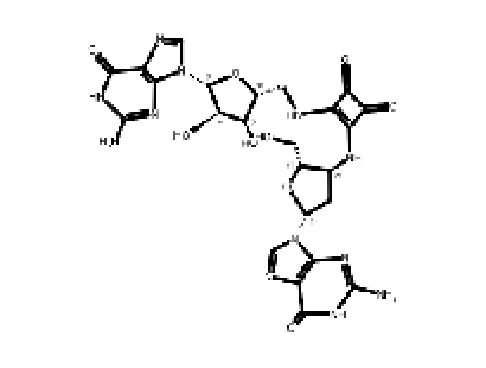 Nc1nc2c(ncn2[C@@H]2O[C@H](CNc3c(N[C@H]4C[C@H](n5cnc6c(=O)[nH]c(N)nc65)O[C@@H]4CO)c(=O)c3=O)[C@@H](O)[C@H]2O)c(=O)[nH]1